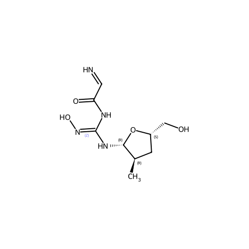 C[C@@H]1C[C@@H](CO)O[C@H]1N/C(=N/O)NC(=O)C=N